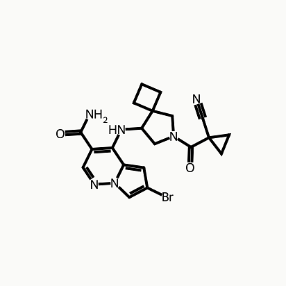 N#CC1(C(=O)N2CC(Nc3c(C(N)=O)cnn4cc(Br)cc34)C3(CCC3)C2)CC1